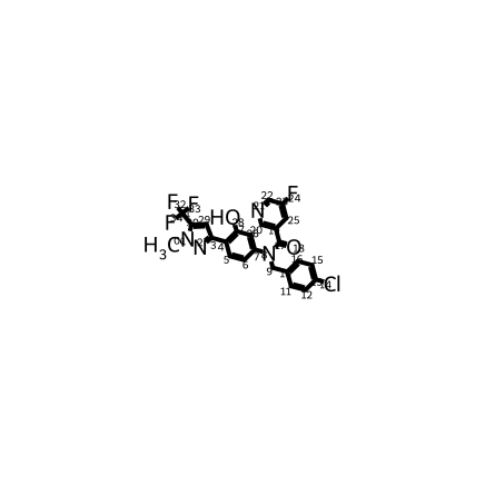 Cn1nc(-c2ccc(N(Cc3ccc(Cl)cc3)C(=O)c3cncc(F)c3)cc2O)cc1C(F)(F)F